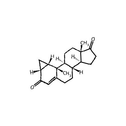 C[C@@]12C(=CC(=O)[C@@H]3C[C@@H]31)CC[C@@H]1[C@@H]2CC[C@]2(C)C(=O)CC[C@@H]12